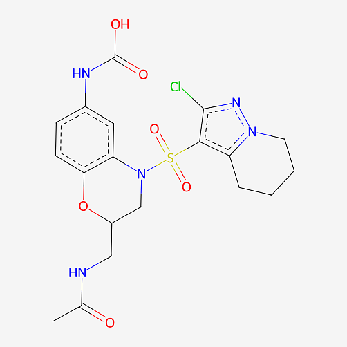 CC(=O)NCC1CN(S(=O)(=O)c2c(Cl)nn3c2CCCC3)c2cc(NC(=O)O)ccc2O1